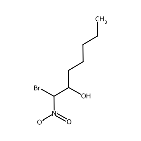 CCCCCC(O)C(Br)[N+](=O)[O-]